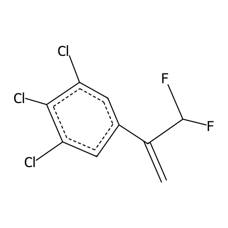 C=C(c1cc(Cl)c(Cl)c(Cl)c1)C(F)F